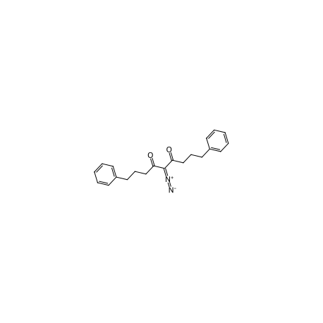 [N-]=[N+]=C(C(=O)CCCc1ccccc1)C(=O)CCCc1ccccc1